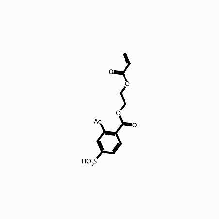 C=CC(=O)OCCOC(=O)c1ccc(S(=O)(=O)O)cc1C(C)=O